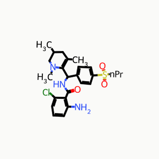 CCCS(=O)(=O)c1ccc(C(NC(=O)c2c(N)cccc2Cl)C2=C(C)CC(C)CN2C)cc1